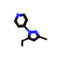 CCc1cc(C)nn1-c1ccncc1